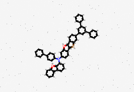 c1ccc(-c2ccc(N(c3ccc4c(c3)oc3c5ccc(-c6cc(-c7ccccc7)cc(-c7ccccc7)c6)cc5sc43)c3cccc4c3oc3ccccc34)cc2)cc1